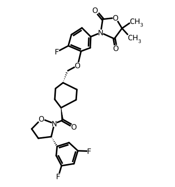 CC1(C)OC(=O)N(c2ccc(F)c(OC[C@H]3CC[C@H](C(=O)N4OCC[C@H]4c4cc(F)cc(F)c4)CC3)c2)C1=O